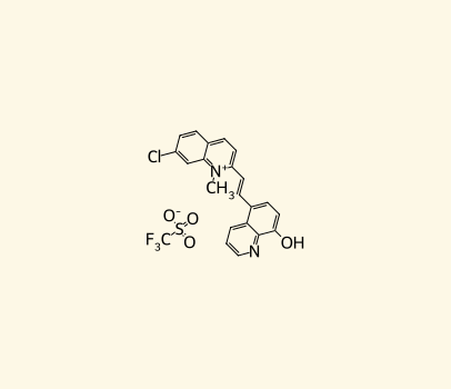 C[n+]1c(C=Cc2ccc(O)c3ncccc23)ccc2ccc(Cl)cc21.O=S(=O)([O-])C(F)(F)F